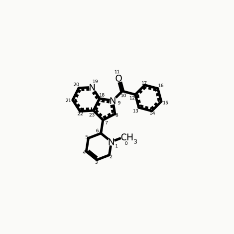 CN1CC=CCC1c1cn(C(=O)c2ccccc2)c2ncccc12